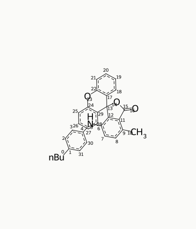 CCCCc1ccc(Nc2ccc(C)c3c2C2(OC3=O)c3ccccc3Oc3ccccc32)cc1